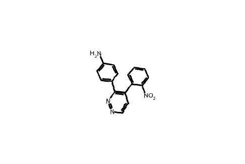 Nc1ccc(-c2nnccc2-c2ccccc2[N+](=O)[O-])cc1